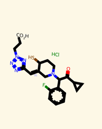 Cl.O=C(O)CCn1nnc(/C=C2/CN(C(C(=O)C3CC3)c3ccccc3F)CCC2S)n1